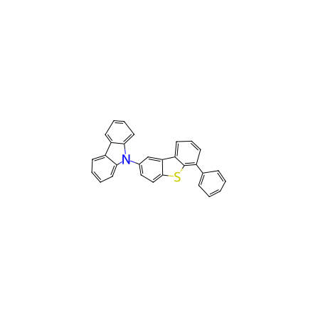 c1ccc(-c2cccc3c2sc2ccc(-n4c5ccccc5c5ccccc54)cc23)cc1